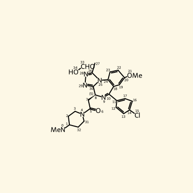 CNC1CCN(C(=O)C[C@@H]2N=C(c3ccc(Cl)cc3)c3cc(OC)ccc3-n3c(C)nnc32)CC1.O=CO